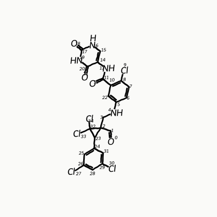 O=CC1(CNc2ccc(Cl)c(C(=O)Nc3c[nH]c(=O)[nH]c3=O)c2)C(c2cc(Cl)cc(Cl)c2)C1(Cl)Cl